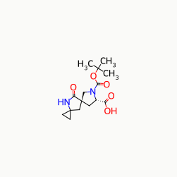 CC(C)(C)OC(=O)N1C[C@@]2(C[C@H]1C(=O)O)CC1(CC1)NC2=O